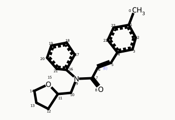 Cc1ccc(/C=C/C(=O)N(CC2CCCO2)c2ccccc2)cc1